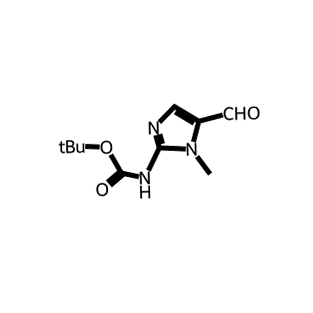 Cn1c(C=O)cnc1NC(=O)OC(C)(C)C